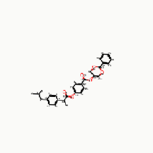 CC(C)Cc1ccc(C(C)C(=O)Oc2ccc(C(=O)OC3COC(c4ccccc4)OC3)cc2)cc1